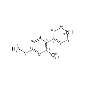 NCc1ccc(C2=CCNCC2)c(C(F)(F)F)c1